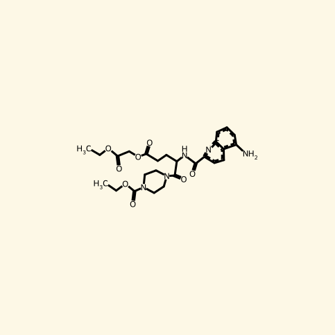 CCOC(=O)COC(=O)CCC(NC(=O)c1ccc2c(N)cccc2n1)C(=O)N1CCN(C(=O)OCC)CC1